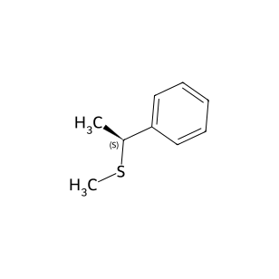 CS[C@@H](C)c1ccccc1